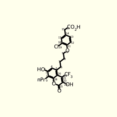 CCCc1c(O)cc(CCCCOc2ccc(CC(=O)O)cc2Cl)c2c(C(F)(F)F)c(O)c(=O)oc12